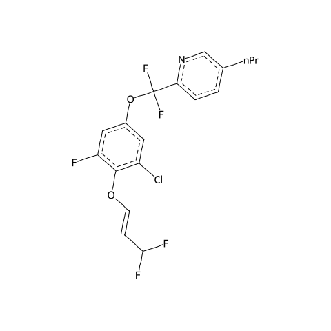 CCCc1ccc(C(F)(F)Oc2cc(F)c(O/C=C/C(F)F)c(Cl)c2)nc1